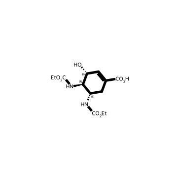 CCOC(=O)N[C@H]1[C@H](O)C=C(C(=O)O)C[C@@H]1NC(=O)OCC